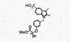 COC(=O)[C@@H](Oc1cccc(Cn2c(C)c(C)c3cc(C(=O)O)ccc32)c1)C(C)C